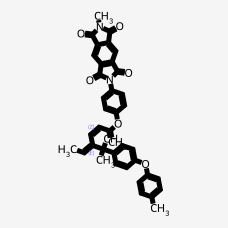 C=C(/C=C\C(=C/C)C(C)(C)c1ccc(Oc2ccc(C)cc2)cc1)Oc1ccc(-n2c(=O)c3cc4c(=O)n(C)c(=O)c4cc3c2=O)cc1